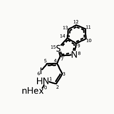 CCCCCCN/C=C\C(=C/I)c1nc2ccccc2s1